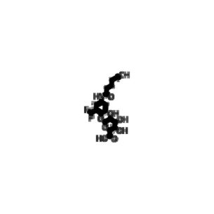 C#CCCCC(=O)Nc1ccc(OC2OC(C(=O)O)C(O)C(O)C2O)c(C(F)F)c1